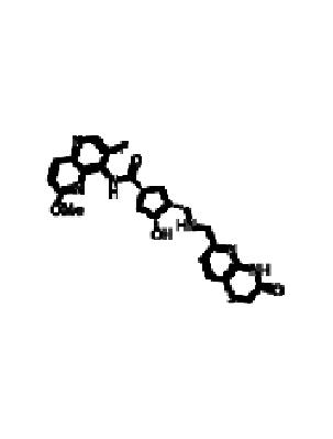 COc1ccc2ncc(F)c(NC(=O)[C@H]3C[C@H](CNCc4ccc5c(n4)NC(=O)CS5)[C@H](O)C3)c2n1